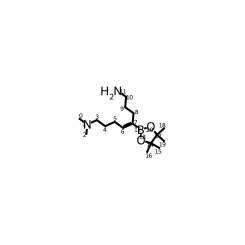 CN(C)CCCC=C(CCCN)B1OC(C)(C)C(C)(C)O1